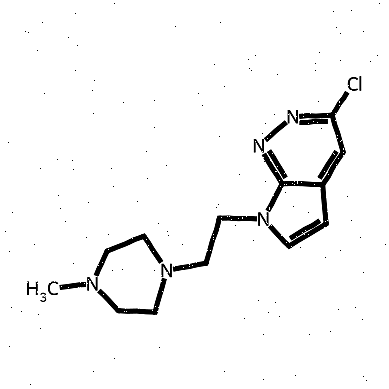 CN1CCN(CCn2ccc3cc(Cl)nnc32)CC1